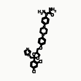 NC(=O)N(N)c1ccc(N2CCN(c3ccc(OCC4COC(Cn5ccnc5)(c5ccc(Cl)cc5Cl)O4)cc3)CC2)cc1